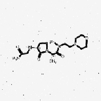 CC(C)N(CCN1CCOCC1)C(=O)[C@H](C)N1CC[C@H](NCC(N)=O)C1=O